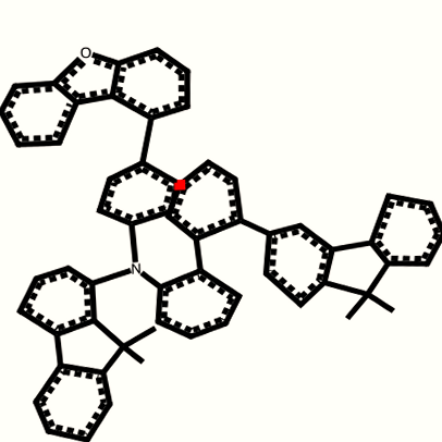 CC1(C)c2ccccc2-c2cc(-c3ccccc3-c3ccccc3N(c3ccc(-c4cccc5oc6ccccc6c45)cc3)c3cccc4c3C(C)(C)c3ccccc3-4)ccc21